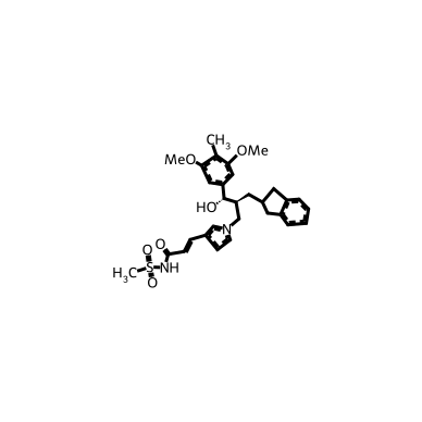 COc1cc([C@@H](O)[C@@H](CC2Cc3ccccc3C2)Cn2ccc(C=CC(=O)NS(C)(=O)=O)c2)cc(OC)c1C